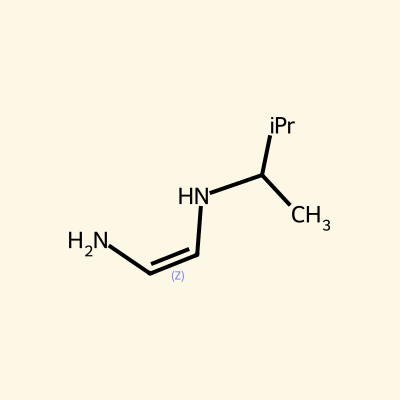 CC(C)C(C)N/C=C\N